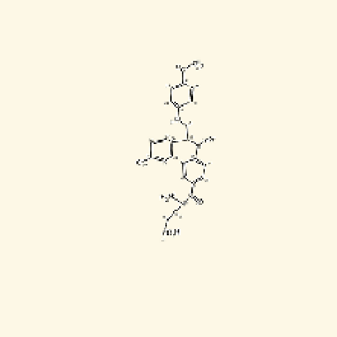 CCCC(c1ccc(C(=O)N(N)CCC(=O)O)cc1)C(COc1ccc(OC(F)(F)F)cc1)c1ccc(Cl)cc1